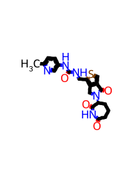 Cc1ccc(NC(=O)NCc2scc3c2CN([C@H]2CCCC(=O)NC2=O)C3=O)cn1